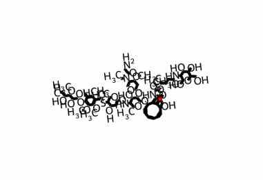 CCC(O)C(OC)C(O)C(O)Oc1c(I)c(C)c(C(=O)SC2C(O)CC(ONC3C(C)OC(O[C@H]4C#C/C=C\C#C[C@]5(O)CC(=O)C(NC(=O)OC)=C4/C5=C\CSSC(C)CCC(=O)NC4C(O)OC(CO)C(O)C4O)C(OC4CC(OC)C(N(CC)C(=O)CN)CO4)C3O)OC2C)c(OC)c1OC